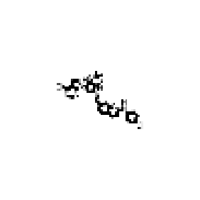 CC1(C)O[C@@H]2[C@@H](CCc3ccc4ccc(Nc5ccc(Cl)cc5)nc4c3)C[C@@H](n3ccc4c(Cl)ncnc43)[C@@H]2O1